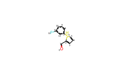 O=CC1=CC=C[SH]1c1cccc(F)c1